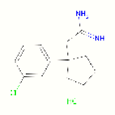 Cl.N=C(N)CC1(c2cccc(Cl)c2)CCCC1